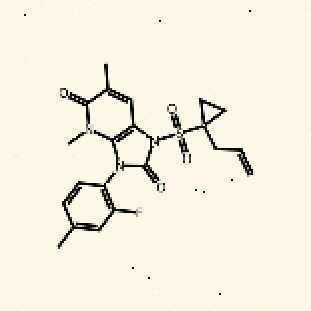 C=CCC1(S(=O)(=O)n2c(=O)n(-c3ccc(C)cc3F)c3c2cc(C)c(=O)n3C)CC1